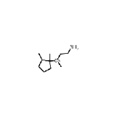 CC1CCC[C]1(C)[Ga]([CH3])[CH2]CN